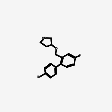 CCc1ccc(-c2ccc(F)cc2COC2CCNC2)cc1